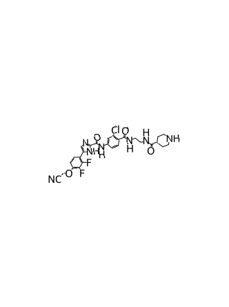 N#CCOc1ccc(-c2cnc(C(=O)Nc3ccc(C(=O)NCCNC(=O)C4CCNCC4)c(Cl)c3)[nH]2)c(F)c1F